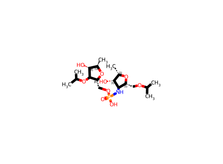 CC(C)OC[C@H]1O[C@@H](C)[C@@H](O)C1NP(=O)(O)OC[C@H]1O[C@@H](C)[C@@H](O)C1OC(C)C